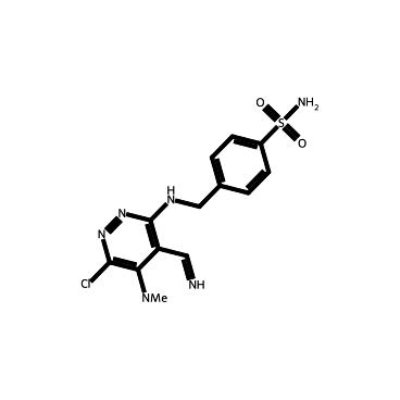 CNc1c(Cl)nnc(NCc2ccc(S(N)(=O)=O)cc2)c1C=N